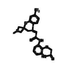 CN1CC2(C/C(=C\C(=O)Nc3cccc4c3OCC(=O)N4)c3ccc(C(F)(F)F)cc3O2)C1